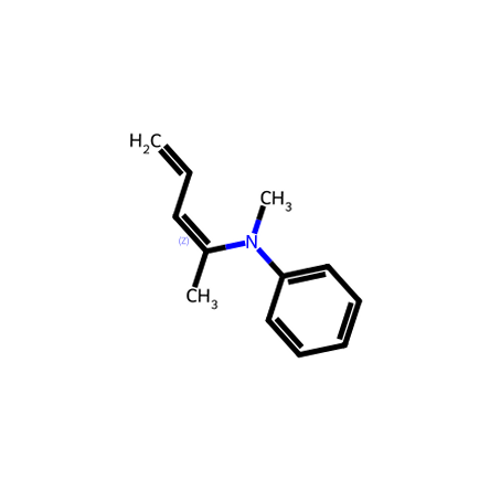 C=C/C=C(/C)N(C)c1ccccc1